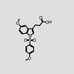 COc1ccc(S(=O)(=O)n2cc(CCC(=O)O)c3cc(OC)ccc32)cc1